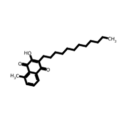 CCCCCCCCCCCCC1=C(O)C(=O)c2c(C)cccc2C1=O